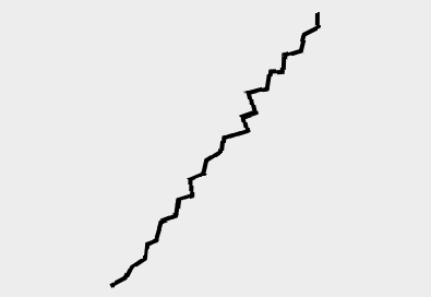 CCCCCCCC[CH]CCCCCCCCCCCCCCCCCC